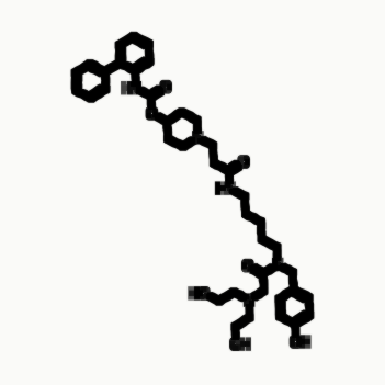 O=C(CCN1CCC(OC(=O)Nc2ccccc2-c2ccccc2)CC1)NCCCCCN(Cc1ccc(O)cc1)C(=O)CN(CCO)CCO